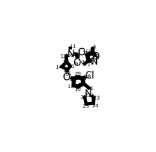 Cc1noc(C)c1OC(=O)N(C)CC1CC(Oc2ccc(CN3CCCC3)c(Cl)c2)C1